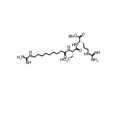 CC(C)COC(=O)[C@H](CCCNC(=N)N)NC(=O)[C@H](CC(=O)O)NC(=O)CCCCCCCCNC(=N)N